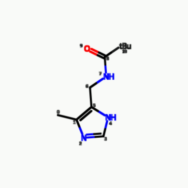 Cc1nc[nH]c1CNC(=O)C(C)(C)C